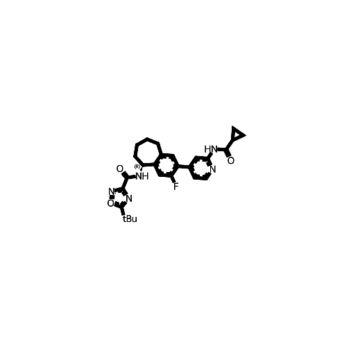 CC(C)(C)c1nc(C(=O)N[C@@H]2CCCCc3cc(-c4ccnc(NC(=O)C5CC5)c4)c(F)cc32)no1